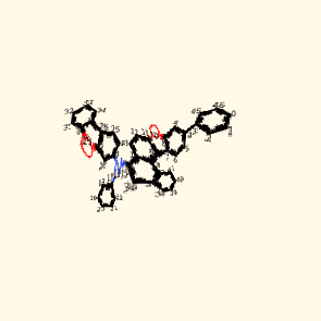 c1ccc(-c2ccc3c(c2)oc2ccc4c(N(c5ccccc5)c5ccc6c(c5)oc5ccccc56)cc5ccccc5c4c23)cc1